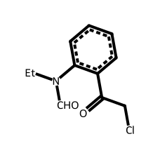 CCN(C=O)c1ccccc1C(=O)CCl